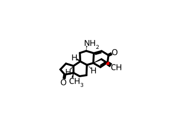 C#CC[C@]12C=CC(=O)C=C1[C@@H](N)C[C@H]1[C@@H]3CCC(=O)[C@@]3(C)CC[C@@H]12